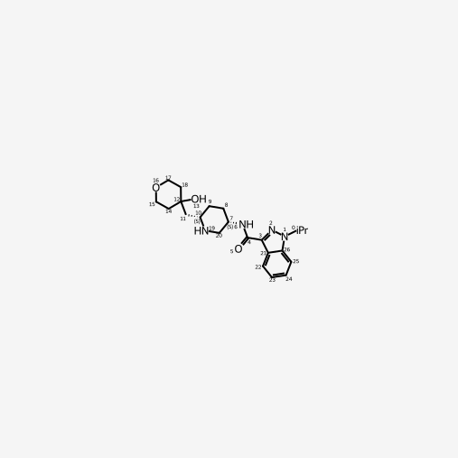 CC(C)n1nc(C(=O)N[C@H]2CC[C@@H](CC3(O)CCOCC3)NC2)c2ccccc21